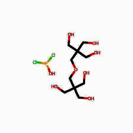 OCC(CO)(CO)COCC(CO)(CO)CO.OP(Cl)Cl